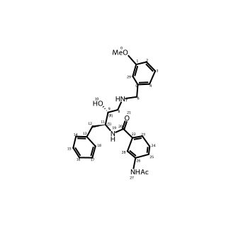 COc1cccc(CNC[C@@H](O)[C@H](Cc2ccccc2)NC(=O)c2cccc(NC(C)=O)c2)c1